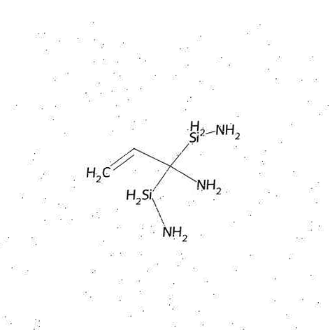 C=CC(N)([SiH2]N)[SiH2]N